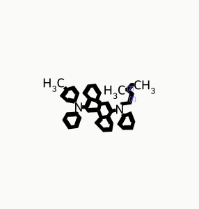 C/C=C(C)\C=C/CN(c1ccccc1)c1cc2c3ccccc3c(N(c3ccccc3)c3ccc(C)cc3)cc2c2ccccc12